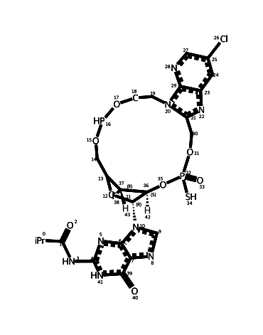 CC(C)C(=O)Nc1nc2c(ncn2[C@@H]2OC3COPOCCn4c(nc5cc(Cl)cnc54)COP(=O)(S)O[C@@H]2[C@@H]3F)c(=O)[nH]1